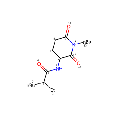 CCCCC(CC)C(=O)NC1CCC(=O)N(CCCC)C1=O